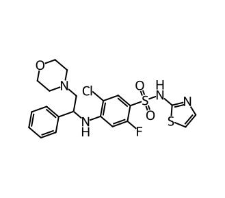 O=S(=O)(Nc1nccs1)c1cc(Cl)c(NC(CN2CCOCC2)c2ccccc2)cc1F